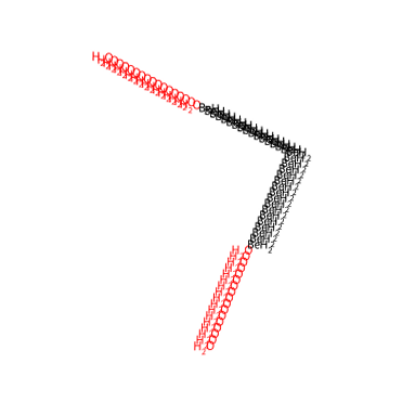 O.O.O.O.O.O.O.O.O.O.O.O.O.O.O.O.O.O.O.O.O.O.O.O.O.O.O.O.O.O.O.O.O.O.[BeH2].[BeH2].[BeH2].[BeH2].[BeH2].[BeH2].[BeH2].[BeH2].[BeH2].[BeH2].[BeH2].[BeH2].[BeH2].[BeH2].[BeH2].[BeH2].[BeH2].[BeH2].[BeH2].[BeH2].[BeH2].[BeH2].[BeH2].[BeH2].[BeH2].[BeH2].[BeH2].[BeH2].[BeH2].[BeH2].[BeH2].[BeH2].[BeH2]